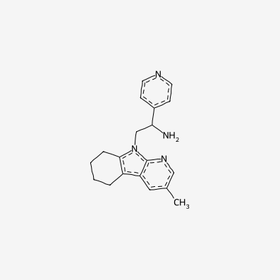 Cc1cnc2c(c1)c1c(n2CC(N)c2ccncc2)CCCC1